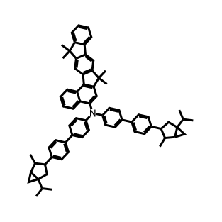 CC1C(c2ccc(-c3ccc(N(c4ccc(-c5ccc(C6CC7(C(C)C)CC7C6C)cc5)cc4)c4cc5c(c6ccccc46)-c4cc6c(cc4C5(C)C)-c4ccccc4C6(C)C)cc3)cc2)CC2(C(C)C)CC12